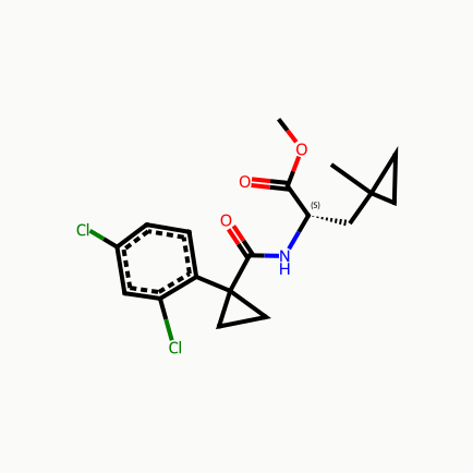 COC(=O)[C@H](CC1(C)CC1)NC(=O)C1(c2ccc(Cl)cc2Cl)CC1